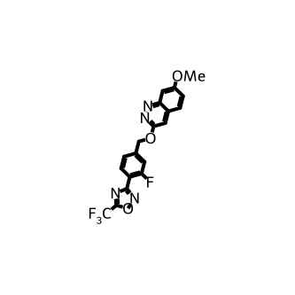 COc1ccc2cc(OCc3ccc(-c4noc(C(F)(F)F)n4)c(F)c3)nnc2c1